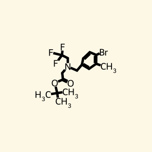 Cc1cc(CN(CC(=O)OC(C)(C)C)CC(F)(F)F)ccc1Br